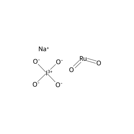 [Na+].[O-][I+3]([O-])([O-])[O-].[O]=[Ru]=[O]